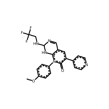 COc1ccc(-n2c3c(cc(-c4ccncc4)c2=O)C=NC(NCC(F)(F)F)N3)cc1